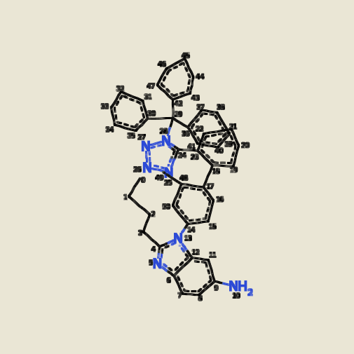 CCCCc1nc2ccc(N)cc2n1-c1ccc(-c2ccccc2-c2nnnn2C(c2ccccc2)(c2ccccc2)c2ccccc2)c(C)c1